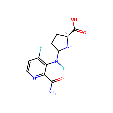 NC(=O)c1nccc(F)c1N(F)C1CC[C@@H](C(=O)O)N1